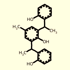 Cc1cc(C(C)c2ccccc2O)c(O)c(C(C)c2ccccc2O)c1